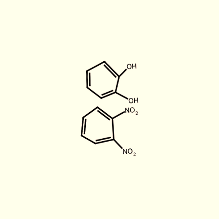 O=[N+]([O-])c1ccccc1[N+](=O)[O-].Oc1ccccc1O